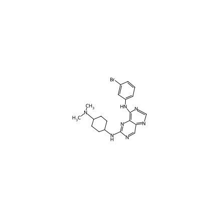 CN(C)C1CCC(Nc2ncc3ncnc(Nc4cccc(Br)c4)c3n2)CC1